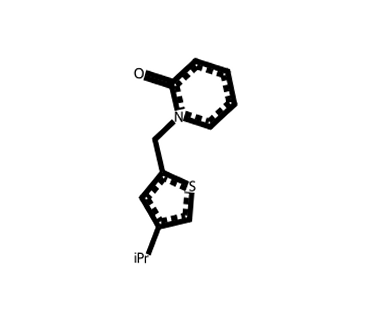 CC(C)c1csc(Cn2ccccc2=O)c1